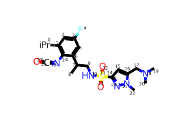 CC(C)c1cc(F)cc(C(C)CNS(=O)(=O)c2cc(CN(C)C)n(C)n2)c1N=C=O